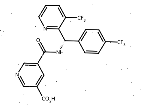 O=C(O)c1cncc(C(=O)N[C@@H](c2ccc(C(F)(F)F)cc2)c2ncccc2C(F)(F)F)c1